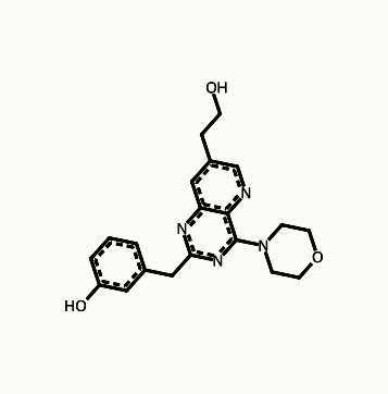 OCCc1cnc2c(N3CCOCC3)nc(Cc3cccc(O)c3)nc2c1